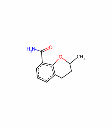 CC1CCc2cccc(C(N)=O)c2O1